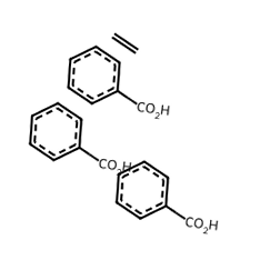 C=C.O=C(O)c1ccccc1.O=C(O)c1ccccc1.O=C(O)c1ccccc1